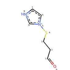 O=CCCS[n+]1cc[nH]c1